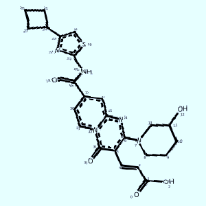 O=C(O)/C=C/c1c(N2CCCC(O)C2)nc2cc(C(=O)Nc3nc(C4CCC4)cs3)ccn2c1=O